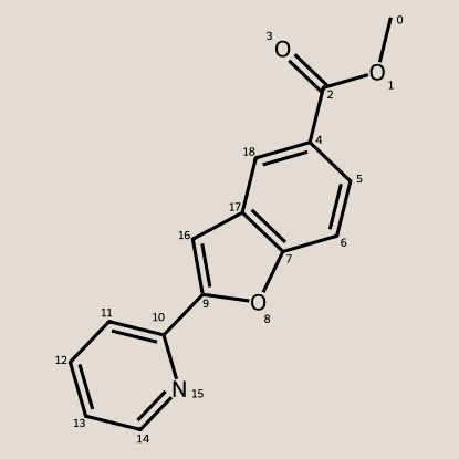 COC(=O)c1ccc2oc(-c3ccccn3)cc2c1